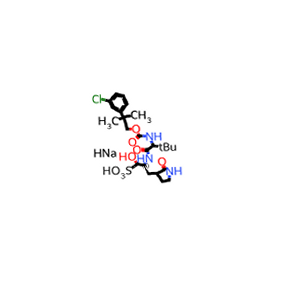 CC(C)(COC(=O)NC(C(=O)N[C@@H](CC1CCNC1=O)C(O)S(=O)(=O)O)C(C)(C)C)c1cccc(Cl)c1.[NaH]